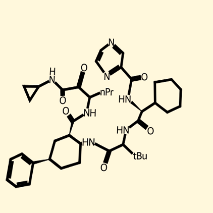 CCCC(NC(=O)[C@@H]1C[C@H](c2ccccc2)CC[C@@H]1NC(=O)C(NC(=O)[C@@H](NC(=O)c1cnccn1)C1CCCCC1)C(C)(C)C)C(=O)C(=O)NC1CC1